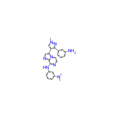 CN(C)c1cccc(Nc2nccn3c(-c4cn(C)nc4-c4cccc(N)c4)cnc23)c1